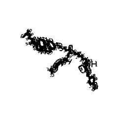 COc1ccc(COC(=O)NC(C)(C)CCCCCCCN(CCC(C)(C)NC(=O)OC(C)(C)C)C(=O)CCSS[C@H]2CC[C@@]3(C)C(=CC[C@H]4[C@@H]5CC[C@H]([C@H](C)CCCC(C)C)[C@@]5(C)CC[C@@H]43)C2)cc1